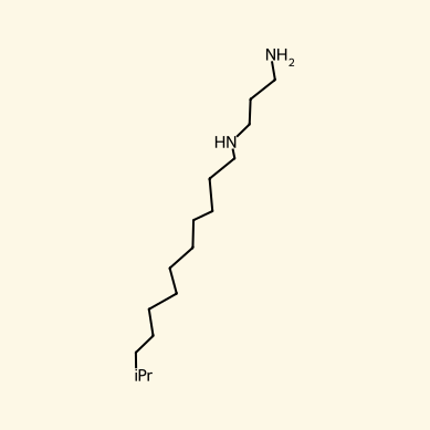 CC(C)CCCCCCCCCCNCCCN